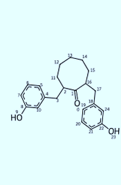 O=C1C(Cc2cccc(O)c2)CCCCCC1Cc1cccc(O)c1